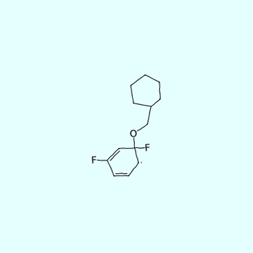 FC1=CC(F)(OCC2CCCCC2)[CH]C=C1